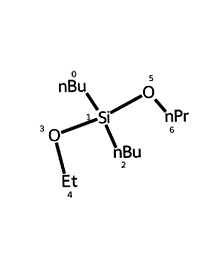 CCCC[Si](CCCC)(OCC)OCCC